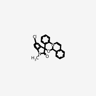 CN1C(=O)C2(OC3c4ccccc4C=CN3c3ccccc32)c2cc(Cl)ccc21